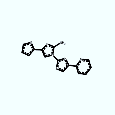 Nc1nc(-c2cccs2)cn1-c1nc(-c2ccccn2)cs1